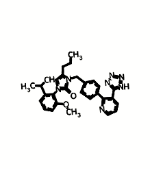 CCCc1cn(-c2c(OC)cccc2C(C)C)c(=O)n1Cc1ccc(-c2ncccc2-c2nnn[nH]2)cc1